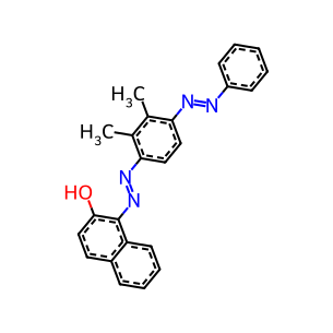 Cc1c(/N=N/c2ccccc2)ccc(/N=N/c2c(O)ccc3ccccc23)c1C